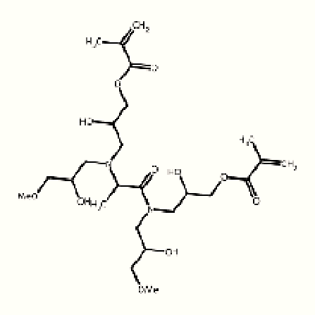 C=C(C)C(=O)OCC(O)CN(CC(O)COC)C(=O)C(C)N(CC(O)COC)CC(O)COC(=O)C(=C)C